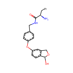 CC(C)C[C@@H](N)C(=O)NCc1ccc(Oc2ccc3c(c2)COB3O)cc1